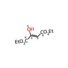 CCOC(=O)/C=C(\O)C(=O)OCC